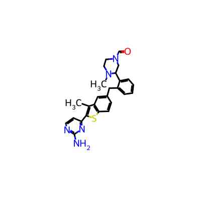 Cc1c(-c2ccnc(N)n2)sc2ccc(Cc3ccccc3C3CN(C=O)CCN3C)cc12